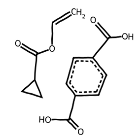 C=COC(=O)C1CC1.O=C(O)c1ccc(C(=O)O)cc1